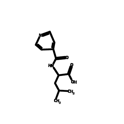 CC(C)CC(NC(=O)c1ccncc1)C(=O)O